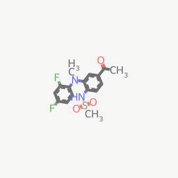 CC(=O)c1ccc(NS(C)(=O)=O)c(N(C)c2ccc(F)cc2F)c1